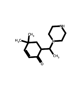 CC(C1CC(C)(C)C=CC1=O)N1CCNCC1